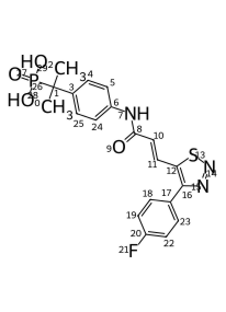 CC(C)(c1ccc(NC(=O)C=Cc2snnc2-c2ccc(F)cc2)cc1)P(=O)(O)O